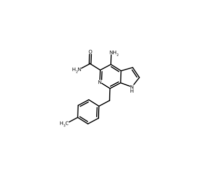 Cc1ccc(Cc2nc(C(N)=O)c(N)c3cc[nH]c23)cc1